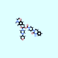 Cc1cc(C[C@@H](OC(=O)N2CCC(N3CCc4ccccc4NC3=O)CC2)C(=O)N2CCN(C3CCOCC3)CC2)cc2c1N(C)CCO2